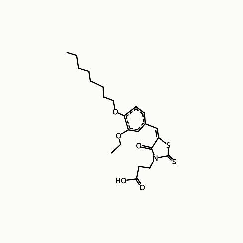 CCCCCCCCOc1ccc(/C=C2/SC(=S)N(CCC(=O)O)C2=O)cc1OCC